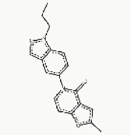 CCCn1ncc2cc(-n3ccc4oc(C)cc4c3=O)ccc21